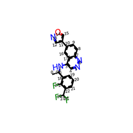 C[C@@H](Nc1cnnc2ccc(-c3cnoc3)cc12)c1cccc(C(F)F)c1F